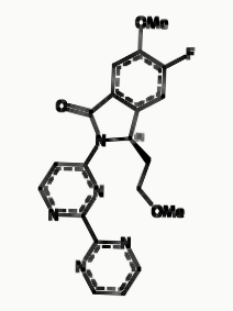 COCC[C@@H]1c2cc(F)c(OC)cc2C(=O)N1c1ccnc(-c2ncccn2)n1